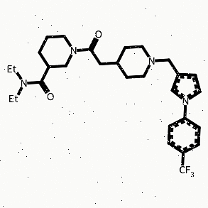 CCN(CC)C(=O)C1CCCN(C(=O)CC2CCN(Cc3ccn(-c4ccc(C(F)(F)F)cc4)c3)CC2)C1